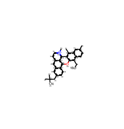 Cc1ccc2c(CC(C)(C)C)c3c(c(C)c2c1)-c1c2c(c4ccc(CC(C)(C)C#N)cc4cc2cc[n+]1C)O3